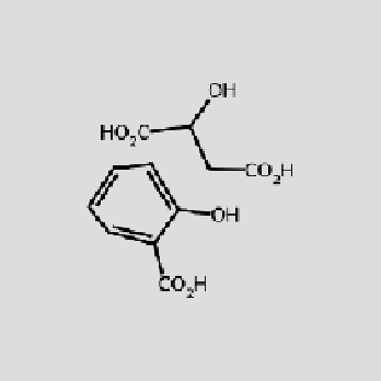 O=C(O)CC(O)C(=O)O.O=C(O)c1ccccc1O